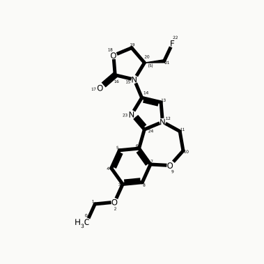 CCOc1ccc2c(c1)OCCn1cc(N3C(=O)OC[C@H]3CF)nc1-2